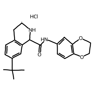 CC(C)(C)c1ccc2c(c1)C(C(=O)Nc1ccc3c(c1)OCCO3)N[CH]C2.Cl